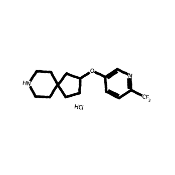 Cl.FC(F)(F)c1ccc(OC2CCC3(CCNCC3)C2)cn1